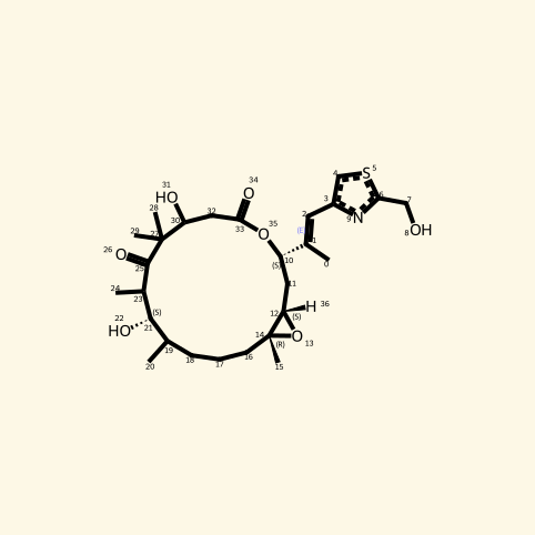 C/C(=C\c1csc(CO)n1)[C@@H]1C[C@@H]2O[C@]2(C)CCCC(C)[C@H](O)C(C)C(=O)C(C)(C)C(O)CC(=O)O1